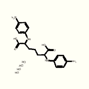 Cl.Cl.Cl.Cl.Nc1ccc(NC(CCCC(Nc2ccc(N)cc2)C(=O)O)C(=O)O)cc1